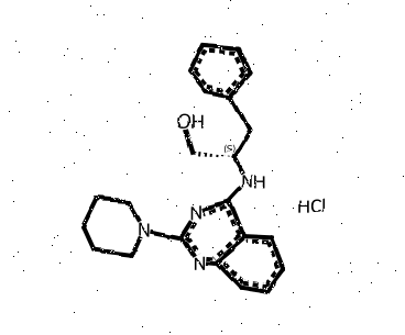 Cl.OC[C@H](Cc1ccccc1)Nc1nc(N2CCCCC2)nc2ccccc12